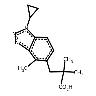 Cc1c(CC(C)(C)C(=O)O)ccc2c1nnn2C1CC1